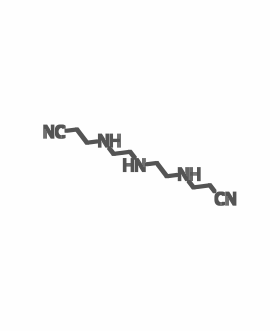 N#CCCNCCNCCNCCC#N